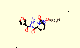 NN(C(=O)c1ccoc1)C(=O)C1CCC2CN1C(=O)N2OS(=O)(=O)O